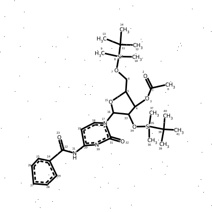 CC(=O)OC1C(CO[Si](C)(C)C(C)(C)C)OC(n2ccc(NC(=O)c3ccccc3)nc2=O)C1O[Si](C)(C)C(C)(C)C